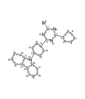 Brc1nc(-c2ccccc2)nc(-c2ccc(-n3c4ccccc4c4ccccc43)cc2)n1